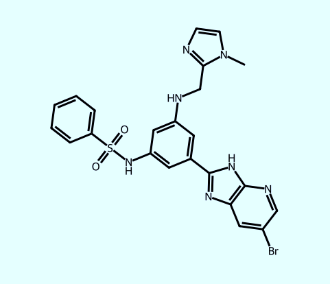 Cn1ccnc1CNc1cc(NS(=O)(=O)c2ccccc2)cc(-c2nc3cc(Br)cnc3[nH]2)c1